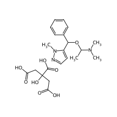 CC(OC(c1ccccc1)c1ccnn1C)N(C)C.O=C(O)CC(O)(CC(=O)O)C(=O)O